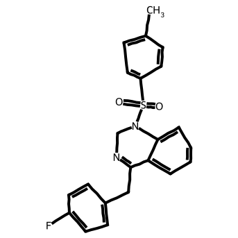 Cc1ccc(S(=O)(=O)N2CN=C(Cc3ccc(F)cc3)c3ccccc32)cc1